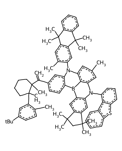 C=C(c1ccc2c(c1)N(c1cc3c(cc1C)C(C)(C)c1ccccc1C3(C)C)c1cc(C)cc3c1B2c1cc2c(cc1N3c1cccc3sc4ccccc4c13)C(C)(C)CC2(C)C)C1(C)CCCCC1(C)c1cc(C(C)(C)C)ccc1C